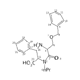 CCCN(C(=O)C(N)COCc1ccccc1)C(Cc1ccccc1)C(=O)O